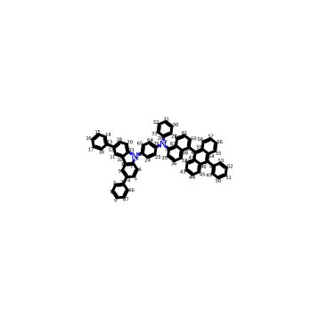 c1ccc(-c2ccc3c(c2)c2cc(-c4ccccc4)ccc2n3-c2ccc(N(c3ccccc3)c3cccc4c(-c5c6ccccc6c(-c6ccccc6)c6ccccc56)cccc34)cc2)cc1